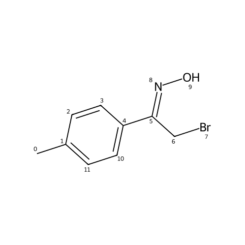 Cc1ccc(C(CBr)=NO)cc1